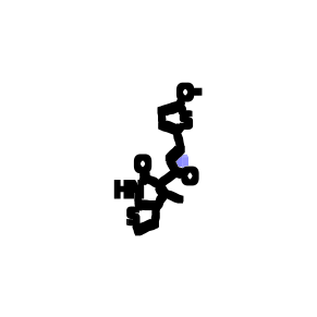 COc1ccc(/C=C/C(=O)c2c(C)c3ccsc3[nH]c2=O)s1